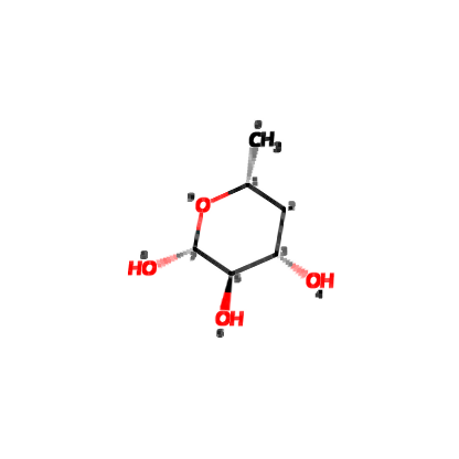 C[C@@H]1C[C@H](O)[C@@H](O)[C@H](O)O1